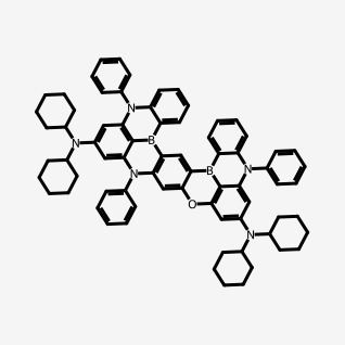 c1ccc(N2c3ccccc3B3c4cc5c(cc4Oc4cc(N(C6CCCCC6)C6CCCCC6)cc2c43)N(c2ccccc2)c2cc(N(C3CCCCC3)C3CCCCC3)cc3c2B5c2ccccc2N3c2ccccc2)cc1